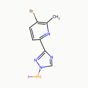 Cc1nc(-c2ncn(PI)n2)ccc1Br